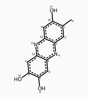 Cc1cc2nc3cc(O)c(O)cc3nc2cc1O